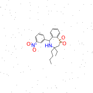 CCCCC1(CC)CS(=O)(=O)c2ccccc2C(c2cccc([N+](=O)[O-])c2)N1